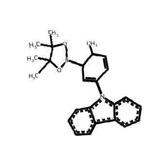 CC1C=CC(n2c3ccccc3c3ccccc32)=CC1B1OC(C)(C)C(C)(C)O1